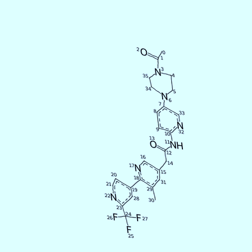 CC(=O)N1CCN(c2ccc(NC(=O)Cc3cnc(-c4ccnc(C(F)(F)F)c4)c(C)c3)nc2)CC1